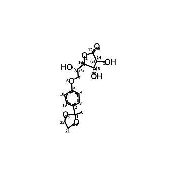 CC1(c2ccc(OC[C@H](O)[C@H]3OC(=O)[C@@H](O)[C@@H]3O)cc2)OCCO1